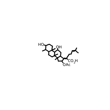 CC(=O)OC1CC2(C)C(CC(O)C3C4(C)CCC(O)C(C)C4CCC32C)C1=C(CCC=C(C)C)C(=O)O